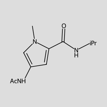 CC(=O)Nc1cc(C(=O)NC(C)C)n(C)c1